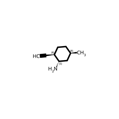 C#C[C@H]1CC[C@@H](C)C[C@@H]1N